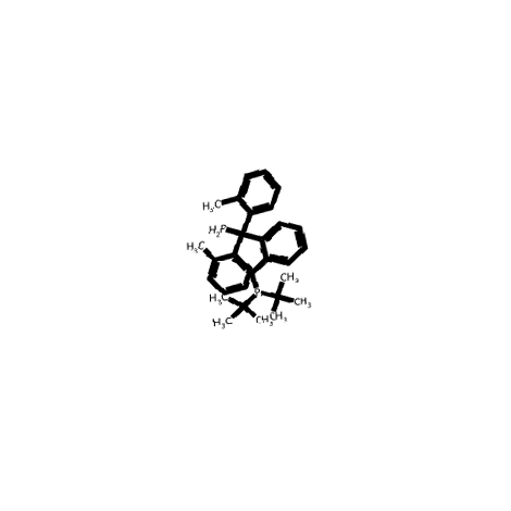 Cc1ccccc1C(P)(c1ccccc1C)c1ccccc1CP(C(C)(C)C)C(C)(C)C